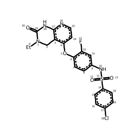 CCN1Cc2c(Oc3ccc(NS(=O)(=O)c4ccc(Cl)cc4)cc3F)ccnc2NC1=O